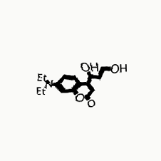 CCN(CC)c1ccc2c(C(O)CCO)cc(=O)oc2c1